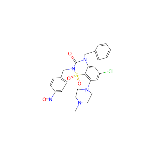 CN1CCN(c2cc(Cl)cc3c2S(=O)(=O)N(Cc2ccc(N=O)cc2)C(=O)N3Cc2ccccc2)CC1